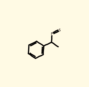 CC(P=S)c1ccccc1